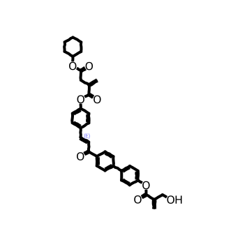 C=C(CO)C(=O)Oc1ccc(-c2ccc(C(=O)/C=C/c3ccc(OC(=O)C(=C)CC(=O)OC4CCCCC4)cc3)cc2)cc1